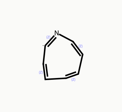 [C]1=N\C=C/C=C\C=C/1